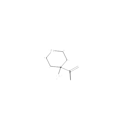 C=C(C)C1(O)CCNCC1